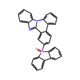 O=P1(c2ccc3c4ccccc4n4c5ccccc5nc4c3c2)c2ccccc2-c2ccccc21